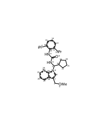 COCc1cn(C(NC(=O)Nc2c(C(C)C)cccc2C(C)C)C2CCCC2)c2ncccc12